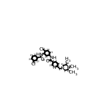 C[C@@H]1CN(Cc2ccc(C(=O)Nc3ccc(Cl)c(NC(=O)c4cccc(Cl)c4)c3)cn2)C[C@H](C)N1C